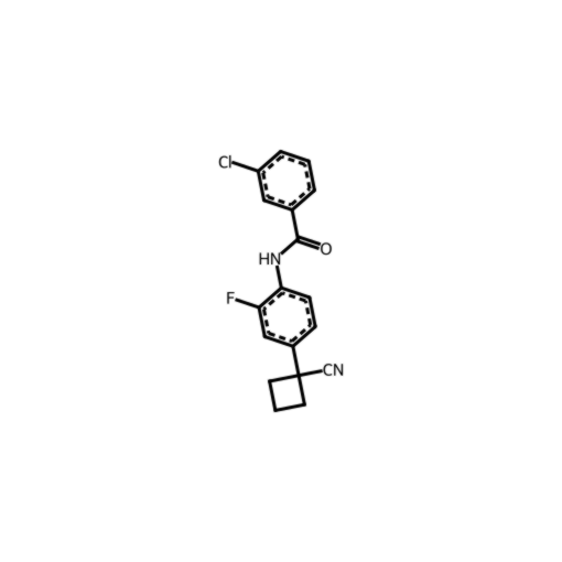 N#CC1(c2ccc(NC(=O)c3cccc(Cl)c3)c(F)c2)CCC1